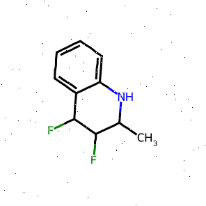 CC1Nc2ccccc2C(F)C1F